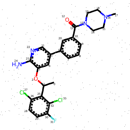 CC(Oc1cc(-c2cccc(C(=O)N3CCN(C)CC3)c2)cnc1N)c1c(Cl)ccc(F)c1Cl